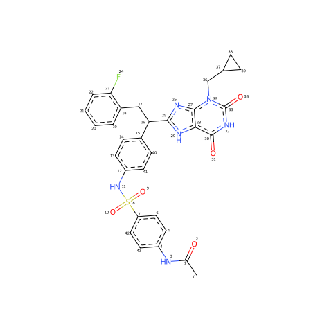 CC(=O)Nc1ccc(S(=O)(=O)Nc2ccc(C(Cc3ccccc3F)c3nc4c([nH]3)c(=O)[nH]c(=O)n4CC3CC3)cc2)cc1